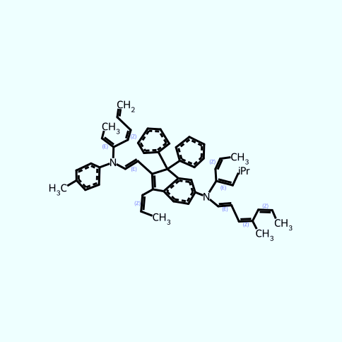 C=C/C=C\C(=C/C)N(/C=C/C1=C(/C=C\C)c2ccc(N(/C=C/C=C(C)\C=C/C)C(/C=C\C)=C/C(C)C)cc2C1(c1ccccc1)c1ccccc1)c1ccc(C)cc1